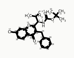 CC(C)[C@@H](NC(=O)OC(C)(C)C)c1oc2cc(Cl)ccc2c(=O)c1Cc1ccccc1